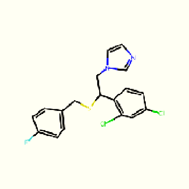 Fc1ccc(CSC(Cn2ccnc2)c2ccc(Cl)cc2Cl)cc1